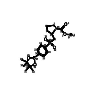 CC(C)(C)OC(=O)N1CCCC1CS(=O)(=O)c1ccc(B2OC(C)(C)C(C)(C)O2)cc1